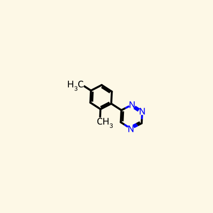 Cc1ccc(-c2cncnn2)c(C)c1